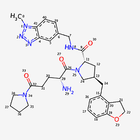 Cn1nnc2cc(CNC(=O)[C@@H]3C[C@@H](Cc4cccc5c4CCO5)CN3C(=O)[C@H](N)CCC(=O)N3CCCC3)ccc21